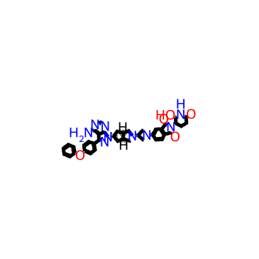 Nc1ncnc2c1c(-c1ccc(Oc3ccccc3)cc1)nn2[C@H]1C[C@@H]2CN(C3CN(c4ccc5c(c4)C(=O)N(C4CCC(=O)NC4O)C5=O)C3)C[C@@H]2C1